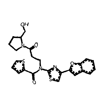 O=C(c1cccs1)N(CCC(=O)N1CCCC1CO)c1nc(-c2cc3ccccc3o2)cs1